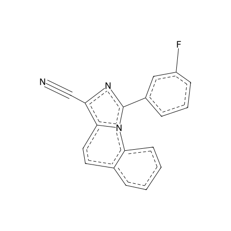 N#Cc1nc(-c2cccc(F)c2)n2c1ccc1ccccc12